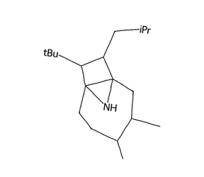 CC(C)CC1C(C(C)(C)C)C23CCC(C)C(C)CC12N3